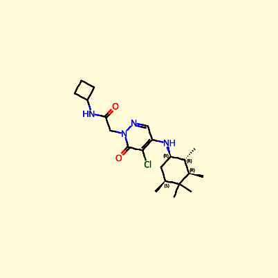 C[C@@H]1[C@@H](C)C(C)(C)[C@@H](C)C[C@H]1Nc1cnn(CC(=O)NC2CCC2)c(=O)c1Cl